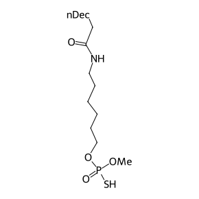 CCCCCCCCCCCC(=O)NCCCCCCOP(=O)(S)OC